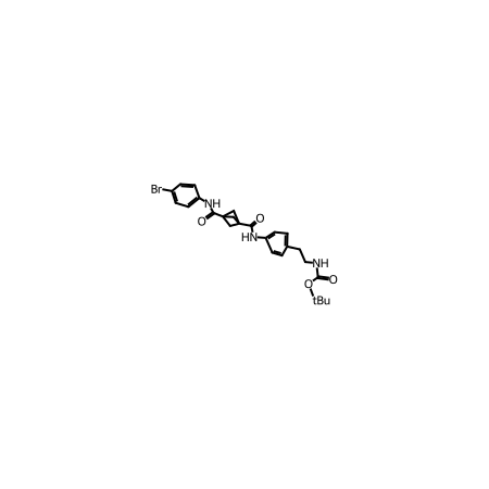 CC(C)(C)OC(=O)NCCc1ccc(NC(=O)C23CC(C(=O)Nc4ccc(Br)cc4)(C2)C3)cc1